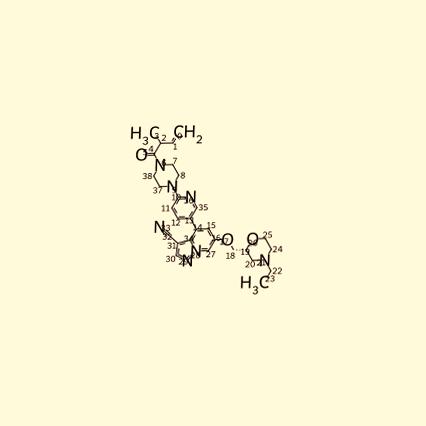 C=CC(C)C(=O)N1CCN(c2ccc(-c3cc(OC[C@H]4CN(CC)CCO4)cn4ncc(C#N)c34)cn2)CC1